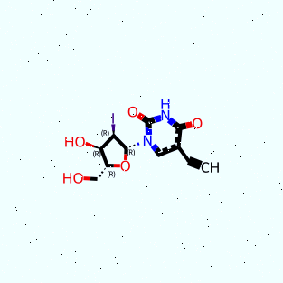 C#Cc1cn([C@@H]2O[C@H](CO)[C@@H](O)[C@H]2I)c(=O)[nH]c1=O